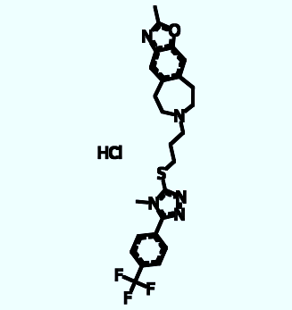 Cc1nc2cc3c(cc2o1)CCN(CCCSc1nnc(-c2ccc(C(F)(F)F)cc2)n1C)CC3.Cl